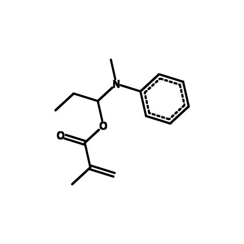 C=C(C)C(=O)OC(CC)N(C)c1ccccc1